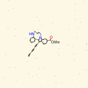 C#CC#CC#Cc1c2n(c3cc(C(=O)OC)ccc13)C/C=C/CNc1ccccc1-2